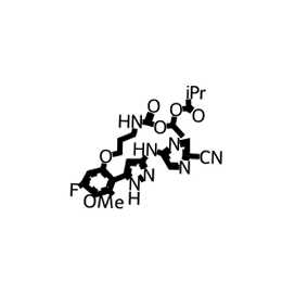 COc1cc(F)cc(OCCCNC(=O)OC(C)OC(=O)C(C)C)c1-c1cc(Nc2cnc(C#N)cn2)n[nH]1